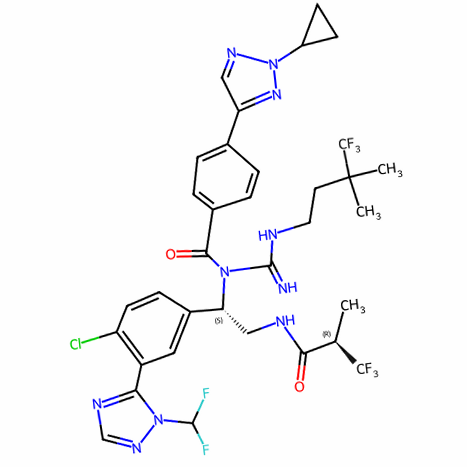 C[C@H](C(=O)NC[C@H](c1ccc(Cl)c(-c2ncnn2C(F)F)c1)N(C(=N)NCCC(C)(C)C(F)(F)F)C(=O)c1ccc(-c2cnn(C3CC3)n2)cc1)C(F)(F)F